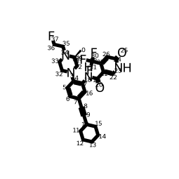 C[C@H]1CN(c2ccc(C#CC3CCCCC3)cc2NC(=O)c2c[nH]c(=O)cc2C(F)(F)F)CCN1CCF